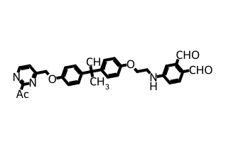 CC(=O)c1nccc(COc2ccc(C(C)(C)c3ccc(OCCNc4ccc(C=O)c(C=O)c4)cc3)cc2)n1